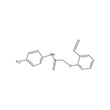 Cc1ccc(NC(=O)COc2ccccc2C=O)cc1